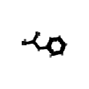 CCC(CC)Cc1ccccn1